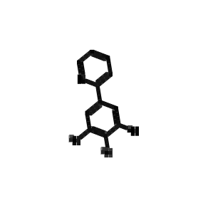 [2H]c1cc(-c2ccccn2)cc([2H])c1[2H]